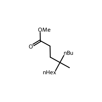 CCCCCCC(C)(CCCC)CCC(=O)OC